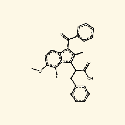 COc1ccc2c(c1Cl)c(C(Cc1ccccc1)C(=O)O)c(C)n2C(=O)c1ccccc1